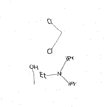 CCN(C(C)C)C(C)C.CO.ClCCl